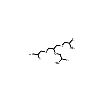 CCCCC(CC)COCC(COCC(CC)CCCC)OCC(CC)CCCC